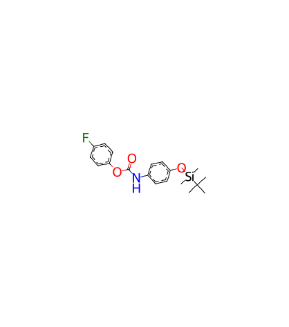 CC(C)(C)[Si](C)(C)Oc1ccc(NC(=O)Oc2ccc(F)cc2)cc1